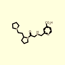 O=C(O)c1ccnc(CNCC(=O)N2CCCC2CCN2CCCC2)c1